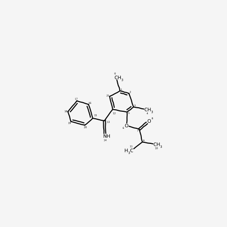 Cc1cc(C)c(OC(=O)C(C)C)c(C(=N)c2ccccc2)c1